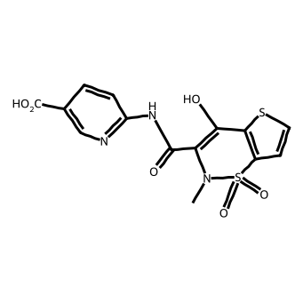 CN1C(C(=O)Nc2ccc(C(=O)O)cn2)=C(O)c2sccc2S1(=O)=O